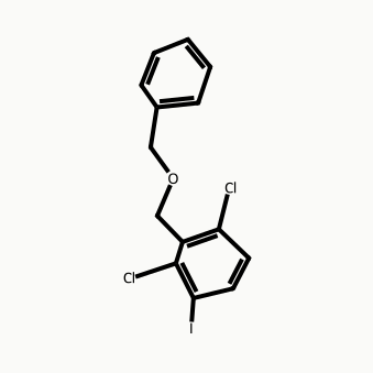 Clc1ccc(I)c(Cl)c1COCc1ccccc1